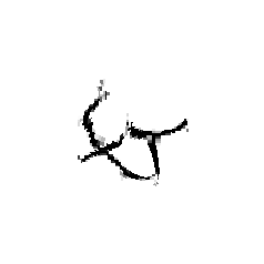 CC1=NC(C)(CBr)CO1